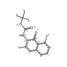 Cc1cc2cccc(F)c2c(=O)n1NC(=O)OC(C)(C)C